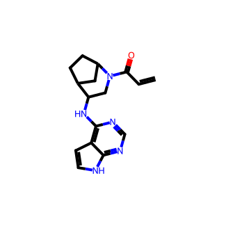 C=CC(=O)N1CC(Nc2ncnc3[nH]ccc23)C2CCC1C2